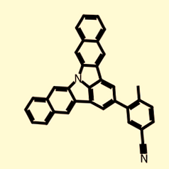 Cc1ccc(C#N)cc1-c1cc2c3cc4ccccc4cc3n3c4cc5ccccc5cc4c(c1)c23